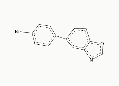 Brc1ccc(-c2ccc3ocnc3c2)cc1